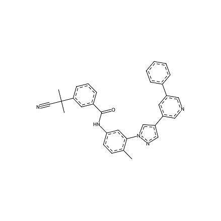 Cc1ccc(NC(=O)c2cccc(C(C)(C)C#N)c2)cc1-n1cc(-c2cncc(-c3ccccc3)c2)cn1